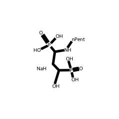 CCCCCNC(CC(O)P(=O)(O)O)P(=O)(O)O.[NaH]